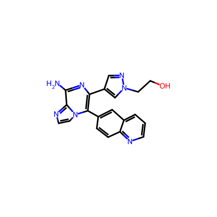 Nc1nc(-c2cnn(CCO)c2)c(-c2ccc3ncccc3c2)n2ccnc12